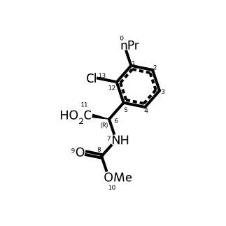 CCCc1cccc([C@@H](NC(=O)OC)C(=O)O)c1Cl